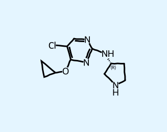 Clc1cnc(N[C@@H]2CCNC2)nc1OC1CC1